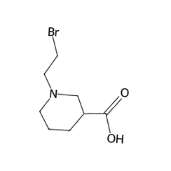 O=C(O)C1CCCN(CCBr)C1